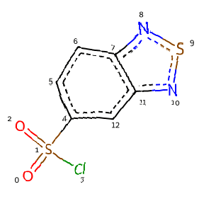 O=S(=O)(Cl)c1ccc2nsnc2c1